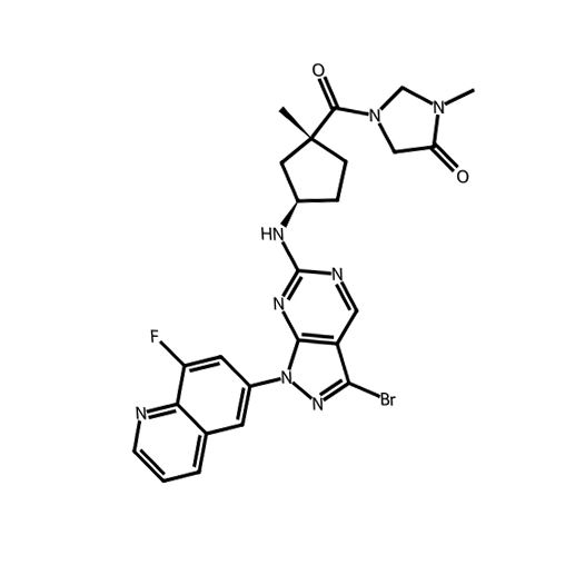 CN1CN(C(=O)[C@]2(C)CC[C@@H](Nc3ncc4c(Br)nn(-c5cc(F)c6ncccc6c5)c4n3)C2)CC1=O